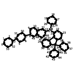 c1ccc(-c2ccc(-c3ccc4cc(N(c5ccccc5)c5cccc6c5-c5ccccc5C6(c5ccccc5)c5ccccc5)ccc4c3)cc2)cc1